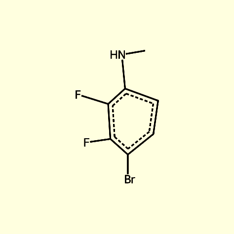 CNc1ccc(Br)c(F)c1F